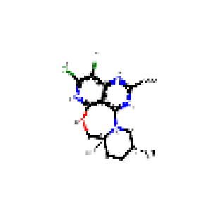 CSc1nc2c3c(nc(Cl)c(F)c3n1)OC[C@@H]1CC[C@@H](C#N)CN21